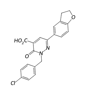 O=C(O)c1cc(-c2ccc3c(c2)CCO3)nn(Cc2ccc(Cl)cc2)c1=O